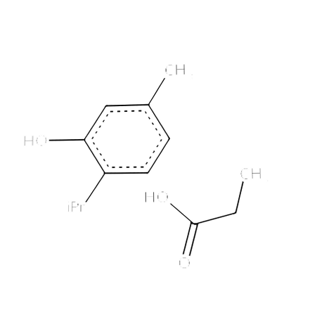 CCC(=O)O.Cc1ccc(C(C)C)c(O)c1